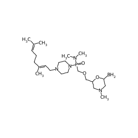 BC1CN(C)CC(COCP(=O)(N(C)C)N2CCN(C/C=C(\C)CCC=C(C)C)CC2)O1